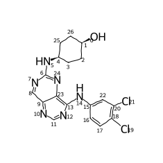 O[C@H]1CC[C@@H](Nc2ncc3ncnc(Nc4ccc(Cl)c(Cl)c4)c3n2)CC1